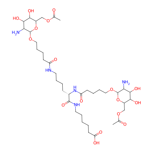 CC(=O)OCC1OC(OCCCCC(=O)NCCCC[C@H](NC(=O)CCCCOC2OC(COC(C)=O)C(O)C(O)C2N)C(=O)NCCCCCC(=O)O)C(N)C(O)C1O